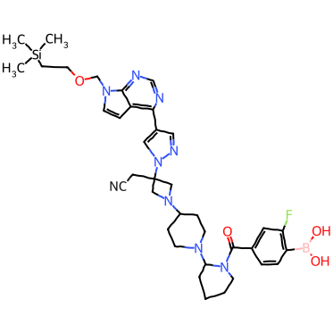 C[Si](C)(C)CCOCn1ccc2c(-c3cnn(C4(CC#N)CN(C5CCN(C6CCCCN6C(=O)c6ccc(B(O)O)c(F)c6)CC5)C4)c3)ncnc21